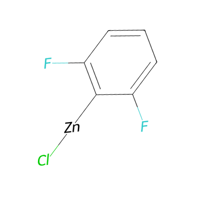 Fc1cccc(F)[c]1[Zn][Cl]